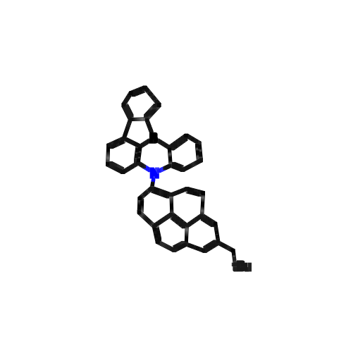 CC(C)(C)Cc1cc2ccc3ccc(N4c5ccccc5B5c6ccccc6-c6cccc4c65)c4ccc(c1)c2c34